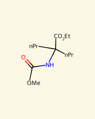 CCCC(CCC)(NC(=O)OC)C(=O)OCC